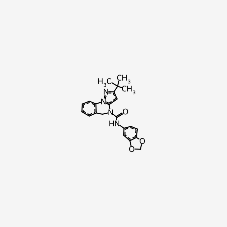 CC(C)(C)c1cc2n(n1)-c1ccccc1CN2C(=O)Nc1ccc2c(c1)OCO2